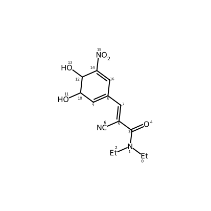 CCN(CC)C(=O)/C(C#N)=C/C1=CC(O)C(O)C([N+](=O)[O-])=C1